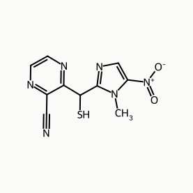 Cn1c([N+](=O)[O-])cnc1C(S)c1nccnc1C#N